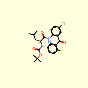 CC(C)C[C@H](NC(=O)OC(C)(C)C)C(=O)Nc1ccc(Cl)cc1C(=O)c1ccccc1F